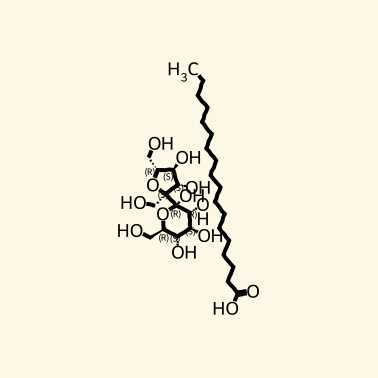 CCCCCCCCCCCCCCCCCC(=O)O.OC[C@H]1O[C@](CO)([C@]2(O)O[C@H](CO)[C@@H](O)[C@H](O)[C@H]2O)[C@@H](O)[C@@H]1O